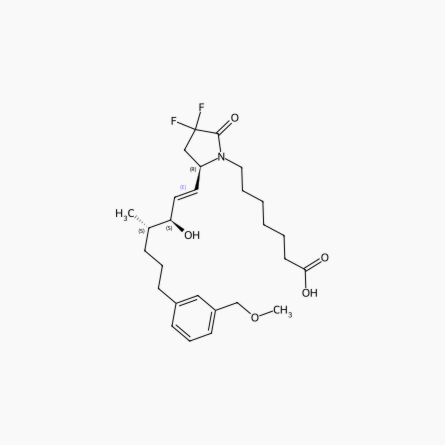 COCc1cccc(CCC[C@H](C)[C@H](O)/C=C/[C@H]2CC(F)(F)C(=O)N2CCCCCCC(=O)O)c1